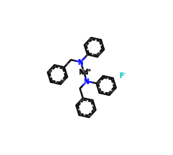 [F-].c1ccc(C[N]([Nd+][N](Cc2ccccc2)c2ccccc2)c2ccccc2)cc1